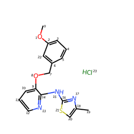 COc1cccc(COc2cccnc2Nc2nc(C)cs2)c1.Cl